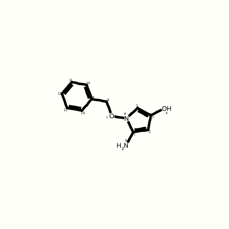 Nc1cc(O)cn1OCc1ccccc1